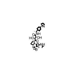 CC(C)Nc1nc([C@H]2CCCN2C(=O)[C@H](O)[C@@H](O)C(=O)N[C@H](C)c2ccc(-n3cccn3)cc2)c(S(C)(=O)=O)s1